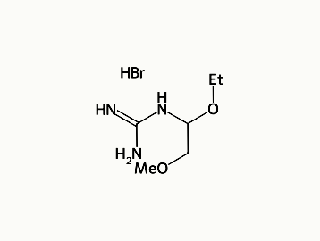 Br.CCOC(COC)NC(=N)N